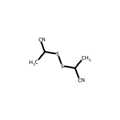 CC(C#N)SSC(C)C#N